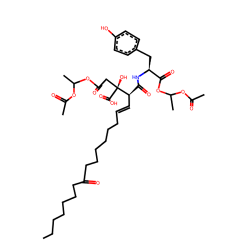 CCCCCCCC(=O)CCCCCC/C=C/[C@H](C(=O)N[C@@H](Cc1ccc(O)cc1)C(=O)OC(C)OC(C)=O)[C@@](O)(CC(=O)OC(C)OC(C)=O)C(=O)O